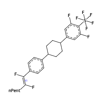 CCCCC/C(F)=C(\F)c1ccc(C2CCC(c3cc(F)c(S(F)(F)(F)(F)F)c(F)c3)CC2)cc1